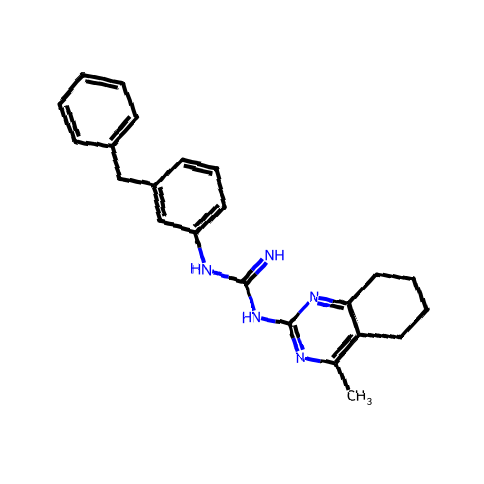 Cc1nc(NC(=N)Nc2cccc(Cc3ccccc3)c2)nc2c1CCCC2